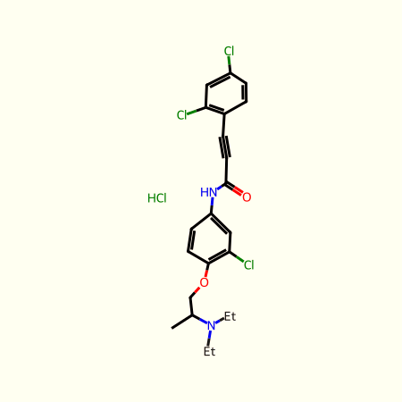 CCN(CC)C(C)COc1ccc(NC(=O)C#Cc2ccc(Cl)cc2Cl)cc1Cl.Cl